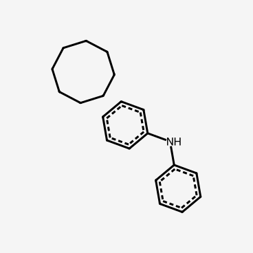 C1CCCCCCC1.c1ccc(Nc2ccccc2)cc1